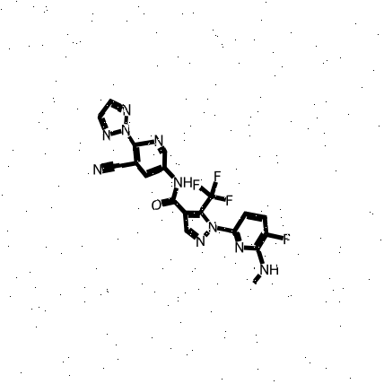 CNc1nc(-n2ncc(C(=O)Nc3cnc(-n4nccn4)c(C#N)c3)c2C(F)(F)F)ccc1F